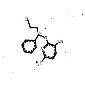 N#Cc1ccc(C(F)(F)F)nc1O[C@H](CCCl)c1ccccc1